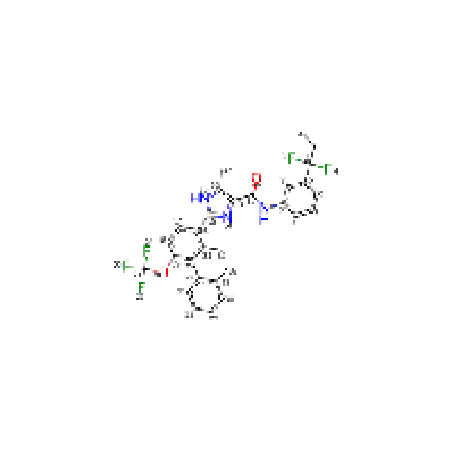 CCC(F)(F)c1cccc(NC(=O)c2nc(-c3ccc(OC(F)(F)F)c(-c4ccccc4C)c3C)[nH]c2C)c1